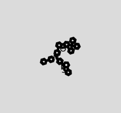 IC1(c2ccc(N(C3=CC=C(C4=CC=CC5c6ccc7c(c6OC45)-c4ccccc4C7(C4=CC=CCC4)c4ccccc4)CC3)C3C=CC(C4C=CC=CC4)=CC3)cc2)CCCC2c3ccccc3SC21